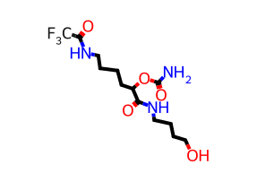 NC(=O)OC(CCCCNC(=O)C(F)(F)F)C(=O)NCCCCO